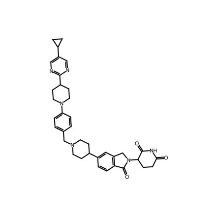 O=C1CCC(N2Cc3cc(C4CCN(Cc5ccc(N6CCC(c7ncc(C8CC8)cn7)CC6)cc5)CC4)ccc3C2=O)C(=O)N1